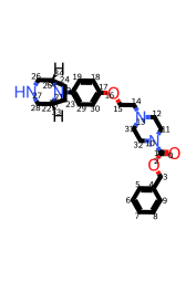 O=C(OCc1ccccc1)N1CCN(CCOc2ccc(N3[C@@H]4CC[C@H]3CNC4)cc2)CC1